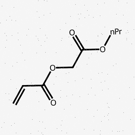 C=CC(=O)OCC(=O)OCCC